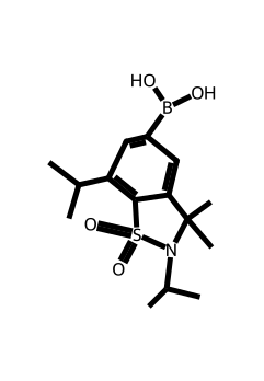 CC(C)c1cc(B(O)O)cc2c1S(=O)(=O)N(C(C)C)C2(C)C